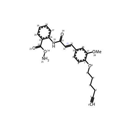 C#CCCCCOc1ccc(/C=C/C(=O)Nc2ccccc2C(=O)ON)cc1OC